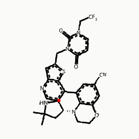 CC1(C)C[C@@H](N2CCOc3cc(C#N)cc(-c4ccnc5cc(Cn6c(=O)ccn(CC(F)(F)F)c6=O)sc45)c32)CN1